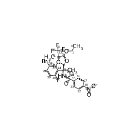 CCOC(=O)[C@@](C)(OC[C@](C)(NS(=O)(=O)c1ccc([N+](=O)[O-])cc1)c1nc(Br)ccc1F)C(F)(F)F